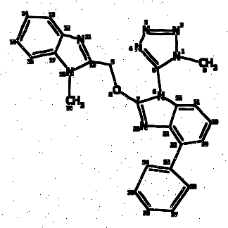 Cn1nnnc1-n1c(OCc2nc3ccccc3n2C)nc2c(-c3ccccc3)cccc21